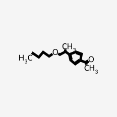 CCCCCOCC(C)c1ccc(C(C)=O)cc1